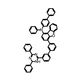 c1ccc(C2=NC(c3ccccc3)NC(c3cccc(-c4cccc(-c5ccc(N(c6ccccc6)c6ccc(-c7ccccc7)cc6)c6c5oc5ccccc56)c4)c3)=N2)cc1